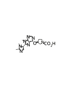 Cc1ncc(-c2nc3c(O[C@H]4CCN(C(=O)O)C4)ncnc3n2C)n1C